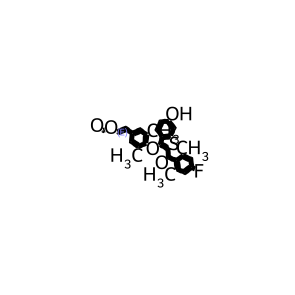 Cc1cc(/C=C/OC=O)cc(C)c1Oc1c(C(=O)c2c(C)cc(F)cc2C)sc2cc(O)ccc12